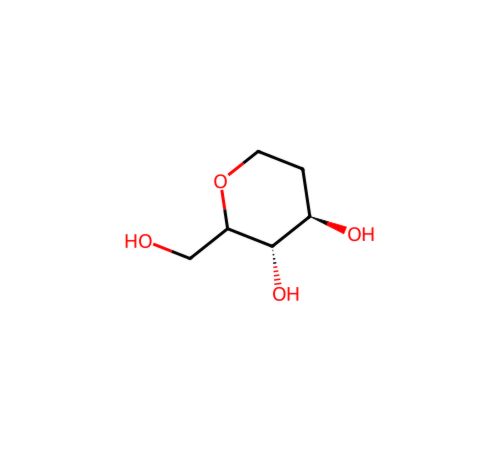 OCC1OCC[C@@H](O)[C@@H]1O